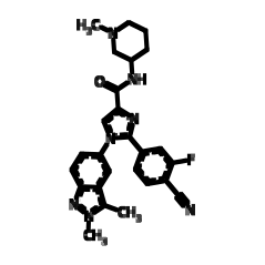 Cc1c2cc(-n3cc(C(=O)NC4CCCN(C)C4)nc3-c3ccc(C#N)c(F)c3)ccc2nn1C